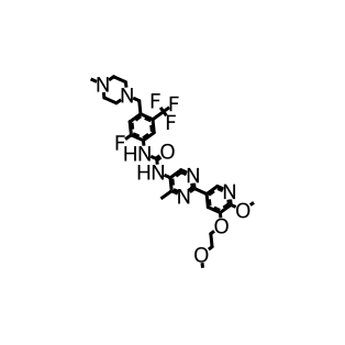 COCCOc1cc(-c2ncc(NC(=O)Nc3cc(C(F)(F)F)c(CN4CCN(C)CC4)cc3F)c(C)n2)cnc1OC